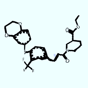 CCOC(=O)C1CCCN(C(=O)/C=C/c2ccc(Sc3ccc4c(c3)OCCO4)c(C(F)(F)F)c2)C1